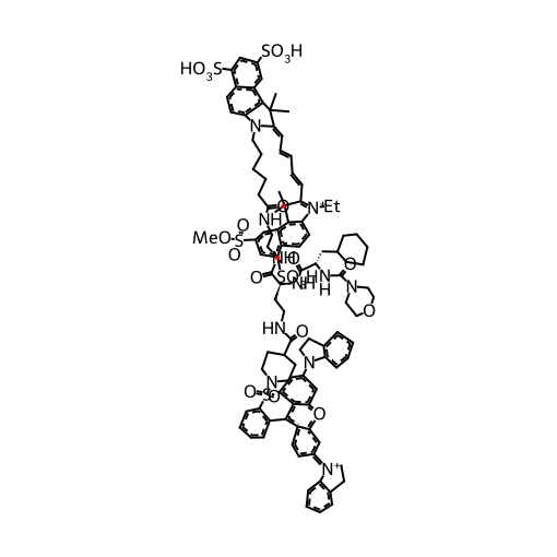 CC[N+]1=C(/C=C/C=C/C=C2\N(CCCCCC(=O)NCCNC(=O)[C@H](CCNC(=O)C3CCN(S(=O)(=O)c4ccccc4-c4c5cc/c(=[N+]6/CCc7ccccc76)cc-5oc5cc(N6CCc7ccccc76)ccc45)CC3)NC(=O)[C@H](CC3CCCCC3)NC(=O)N3CCOCC3)c3ccc4c(S(=O)(=O)O)cc(S(=O)(=O)O)cc4c3C2(C)C)C(C)(C)c2c1ccc1c(S(=O)(=O)O)cc(S(=O)(=O)OC)cc21